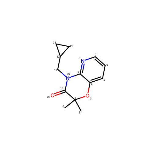 CC1(C)Oc2cccnc2N(CC2CC2)C1=O